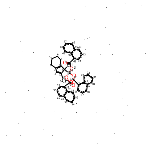 CC1=CC2=C(CCCC2)[C]1(C)[Ti]([O]C(=O)c1cccc2ccccc12)([O]C(=O)c1cccc2ccccc12)[O]C(=O)c1cccc2ccccc12